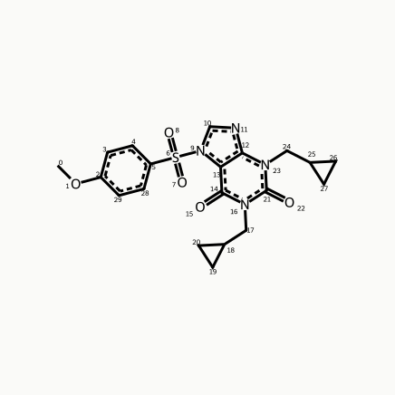 COc1ccc(S(=O)(=O)n2cnc3c2c(=O)n(CC2CC2)c(=O)n3CC2CC2)cc1